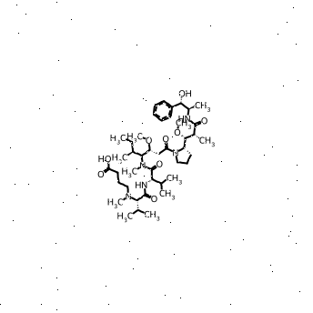 CC[C@H](C)C([C@@H](CC(=O)N1CCC[C@H]1[C@H](OC)[C@@H](C)C(=O)N[C@H](C)[C@@H](O)c1ccccc1)OC)N(C)C(=O)[C@@H](NC(=O)[C@H](C(C)C)N(C)CCCC(=O)O)C(C)C